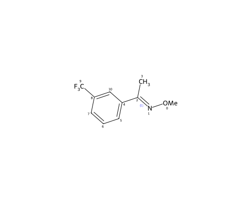 CO/N=C(\C)c1cccc(C(F)(F)F)c1